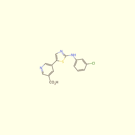 O=C(O)c1cncc(-c2cnc(Nc3cccc(Cl)c3)s2)c1